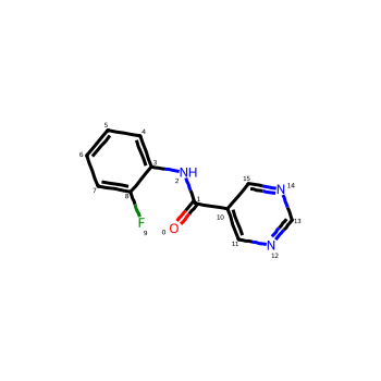 O=C(Nc1ccccc1F)c1cncnc1